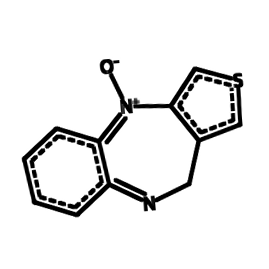 [O-][N+]1=c2ccccc2=NCc2cscc21